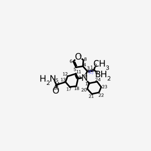 B/C(C)=C(/C1C=COC1)N(C1=CCC(C(N)=O)CC1)C1CCCCC1